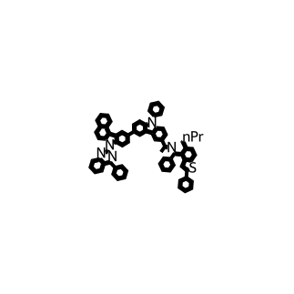 CCC\C=c1/ccc2sc(-c3ccccc3)cc2/c1=C(/N=C(\C)c1ccc2c(c1)c1cc(-c3ccc4c(c3)c3c5ccccc5ccc3n4-c3nc(-c4ccccc4)c4ccccc4n3)ccc1n2-c1ccccc1)c1ccccc1